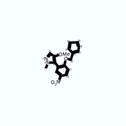 COc1cnn(C)c1-c1cc([N+](=O)[O-])ccc1OCc1ccccc1